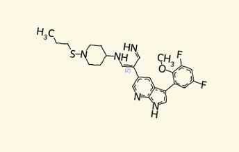 CCCSN1CCC(N/C=C(\C=N)c2cnc3[nH]cc(-c4cc(F)cc(F)c4OC)c3c2)CC1